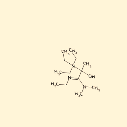 CCN=C(N(C)C)C(C)(O)[Si](CC)(CC)CC